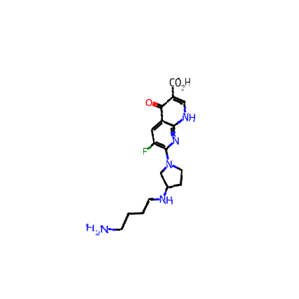 NCCCCNC1CCN(c2nc3[nH]cc(C(=O)O)c(=O)c3cc2F)C1